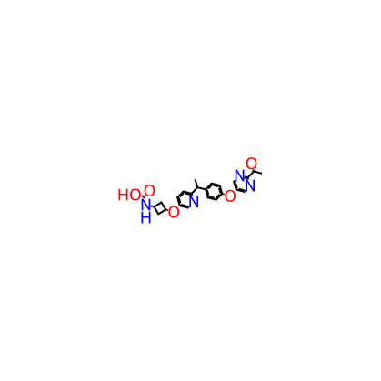 CC(=O)c1ncc(Oc2ccc(C(C)c3ccc(OC4CC(NC(=O)O)C4)cn3)cc2)cn1